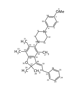 COc1ccc(N2CCN(c3c(C)c(C)c4c(c3C)/C(=C/Cc3ccccc3)C(C)(C)O4)CC2)cc1